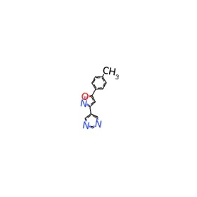 Cc1ccc(-c2cc(-c3cncnc3)no2)cc1